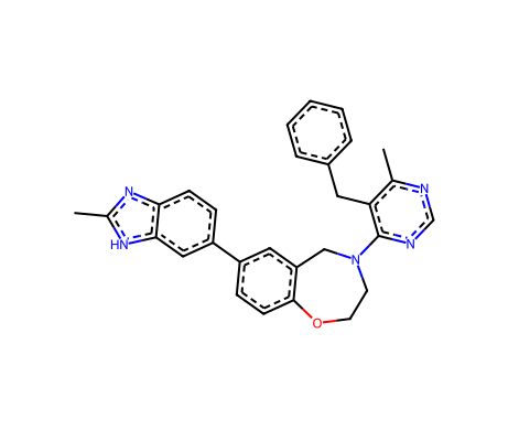 Cc1nc2ccc(-c3ccc4c(c3)CN(c3ncnc(C)c3Cc3ccccc3)CCO4)cc2[nH]1